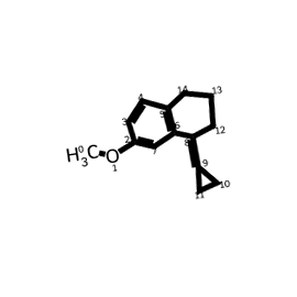 COc1ccc2c(c1)C(=C1CC1)CCC2